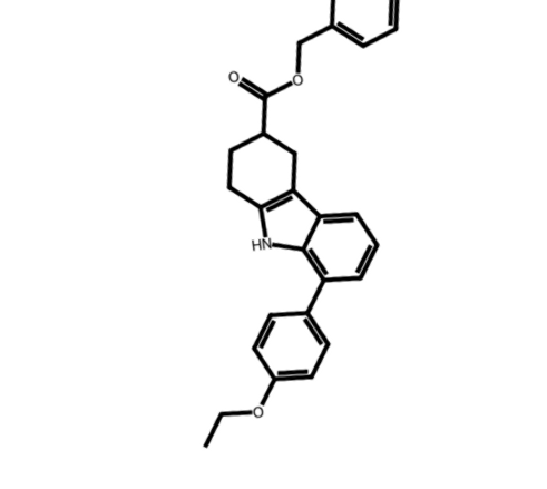 CCOc1ccc(-c2cccc3c4c([nH]c23)CCC(C(=O)OCc2ccccc2)C4)cc1